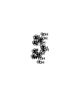 O=C(O)CCC(Nc1nc(Nc2ccc(/C=C/c3ccc(Nc4nc(Nc5cc(S(=O)(=O)O)ccc5S(=O)(=O)O)nc(NC(CCC(=O)O)C(=O)O)n4)cc3S(=O)(=O)O)c(S(=O)(=O)O)c2)nc(Nc2cc(S(=O)(=O)O)ccc2S(=O)(=O)O)n1)C(=O)O